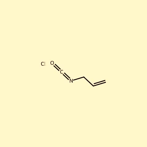 C=CCN=C=O.[C]